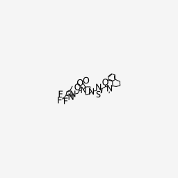 COC(=O)C1CN(c2nc(C(=O)N(C)C3CCCc4ccccc43)cs2)CCN1C(=O)Cn1nc(C(F)(F)F)cc1C